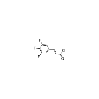 O=C(Cl)C=Cc1cc(F)c(F)c(F)c1